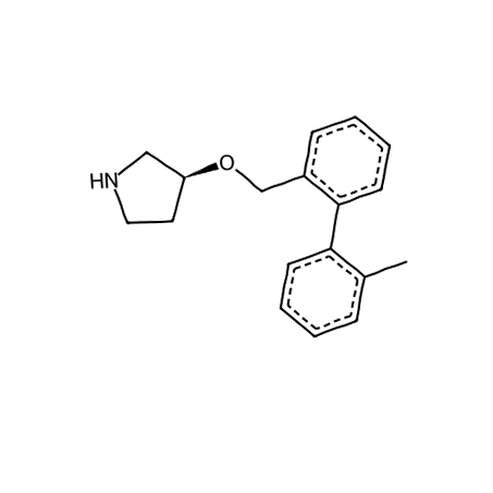 Cc1ccccc1-c1ccccc1CO[C@H]1CCNC1